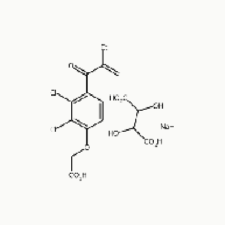 C=C(CC)C(=O)c1ccc(OCC(=O)O)c(Cl)c1Cl.O=C(O)C(O)C(O)C(=O)O.[NaH]